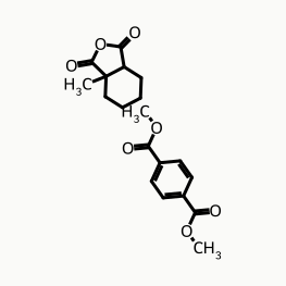 CC12CCCCC1C(=O)OC2=O.COC(=O)c1ccc(C(=O)OC)cc1